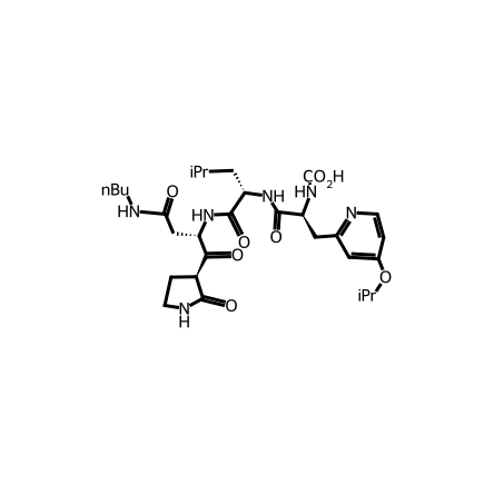 CCCCNC(=O)C[C@H](NC(=O)[C@H](CC(C)C)NC(=O)[C@H](Cc1cc(OC(C)C)ccn1)NC(=O)O)C(=O)[C@@H]1CCNC1=O